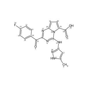 Cc1cc(Nc2nc(C(=O)c3ccc(F)cc3)nc3ccc(C(=O)O)n23)n[nH]1